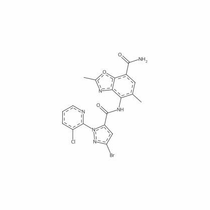 Cc1nc2c(NC(=O)c3cc(Br)nn3-c3ncccc3Cl)c(C)cc(C(N)=O)c2o1